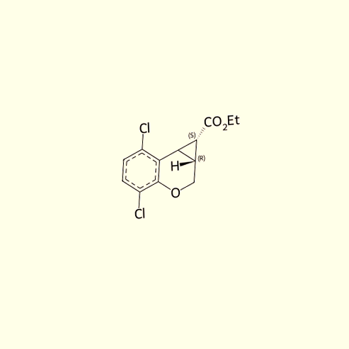 CCOC(=O)[C@H]1C2c3c(Cl)ccc(Cl)c3OC[C@H]21